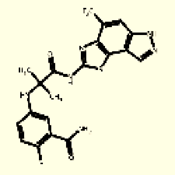 CC(C)(Nc1ccc(F)c(C(N)=O)c1)C(=O)Nc1nc2c(C(F)(F)F)cc3[nH]ncc3c2s1